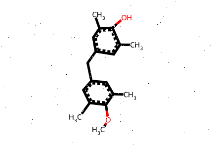 COc1c(C)cc(Cc2cc(C)c(O)c(C)c2)cc1C